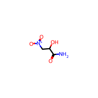 NC(=O)C(O)C[N+](=O)[O-]